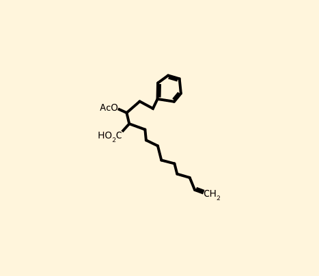 C=CCCCCCCCC(C(=O)O)C(CCc1ccccc1)OC(C)=O